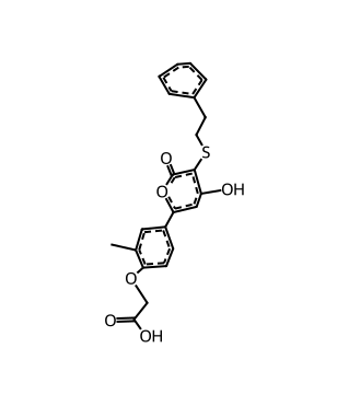 Cc1cc(-c2cc(O)c(SCCc3ccccc3)c(=O)o2)ccc1OCC(=O)O